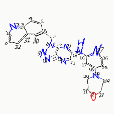 c1cnc2ccc(Cn3nnc4ncc(Nc5cc(N6CCOCC6)ccn5)nc43)cc2c1